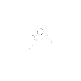 Cc1ccc(CN2CCOCC2)cc1C(=O)NCCCF